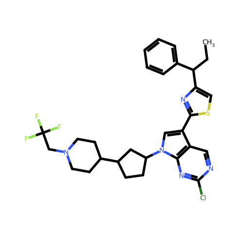 CCC(c1ccccc1)c1csc(-c2cn(C3CCC(C4CCN(CC(F)(F)F)CC4)C3)c3nc(Cl)ncc23)n1